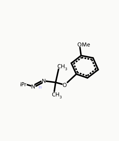 COc1cccc(OC(C)(C)/N=N/C(C)C)c1